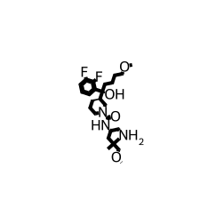 COCCCC[C@@](O)(c1cccc(F)c1F)[C@@H]1CCCN(C(=O)NC(CN)CC(C)(C)COC)C1